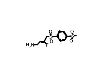 CS(=O)(=O)c1ccc(S(=O)(=O)C/C(F)=C/CN)cc1